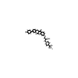 Cc1c(Cc2ccc(-c3ccc(F)cc3)cc2)c(=O)oc2cc(OCC(O)CN3CCC(C(N)=O)CC3)ccc12